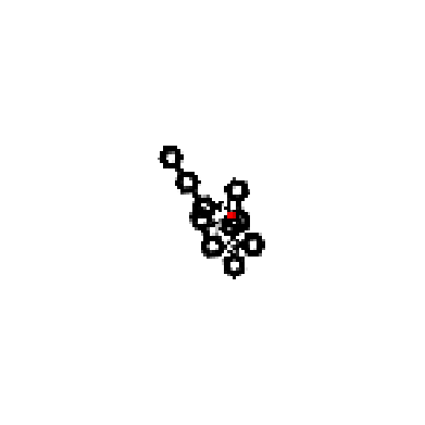 c1ccc(-c2ccc(-c3cccc(-n4c5ccccc5c5cccc(-n6c7ccccc7c7cccc([Si](c8ccccc8)(c8ccccc8)c8ccccc8)c76)c54)c3)cc2)cc1